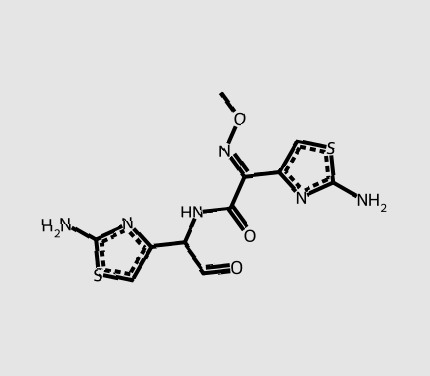 CON=C(C(=O)NC(C=O)c1csc(N)n1)c1csc(N)n1